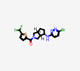 O=C(c1ccc(C(F)F)s1)N1C[C@@H]2CC[C@@H](Nc3ccc(Br)nn3)[C@@H]2C1